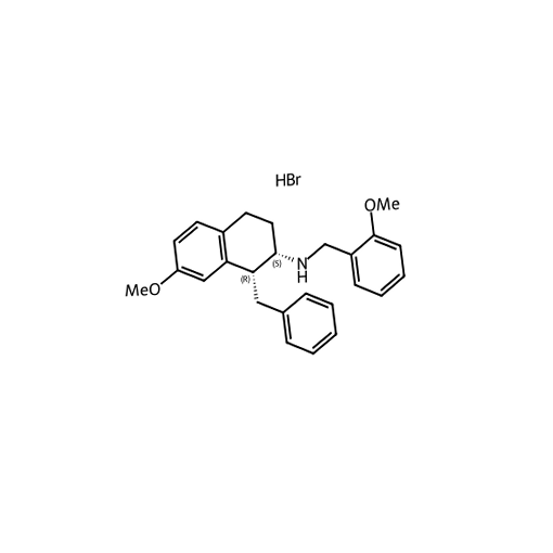 Br.COc1ccc2c(c1)[C@@H](Cc1ccccc1)[C@@H](NCc1ccccc1OC)CC2